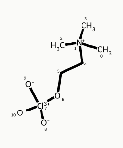 C[N+](C)(C)CCO[Cl+3]([O-])([O-])[O-]